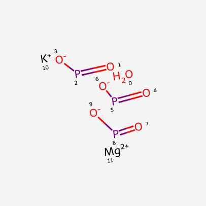 O.O=P[O-].O=P[O-].O=P[O-].[K+].[Mg+2]